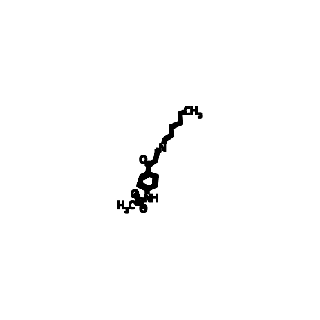 CCCCCCN=CCC(=O)c1ccc(NS(C)(=O)=O)cc1